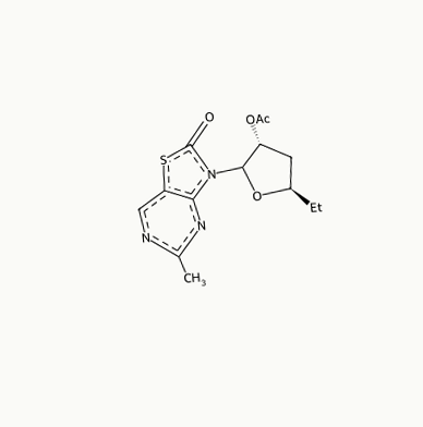 CC[C@@H]1C[C@@H](OC(C)=O)C(n2c(=O)sc3cnc(C)nc32)O1